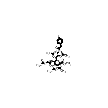 COC(=O)[C@@]1(SC(C)=O)C[C@H](OC(C)=O)[C@@H](NC(=O)COC(C)=O)[C@H]([C@H](OC(C)=O)[C@@H](CNC(=O)Cc2ccc(Cl)cc2)OC(C)=O)O1